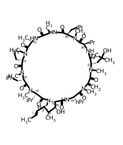 C=C1C(=O)N(C)[C@@H](CC(C)(C)O)C(=O)N[C@H](C(C)C)C(=O)N(C)[C@H](CC(C)C)C(=O)N[C@H](C)C(=O)N[C@@H](C)C(=O)N(C)[C@@H](CC(C)C)C(=O)N(C)[C@@H](CC(C)C)C(=O)N(C)[C@@H](C(C)C)C(=O)N(C)[C@@H]([C@H](O)[C@H](C)C/C=C/C)C(=O)N[C@@H](CCC)C(=O)N1C